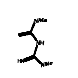 C=C(NC)NC(=N)NC